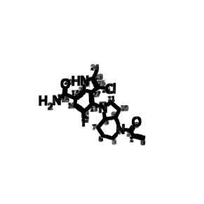 C=CC(=O)N1CCCC2C1CCN2c1c(F)cc(C(N)=O)c2[nH]c(C)c(Cl)c12